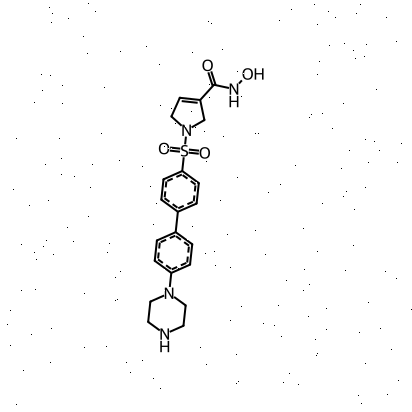 O=C(NO)C1=CCN(S(=O)(=O)c2ccc(-c3ccc(N4CCNCC4)cc3)cc2)C1